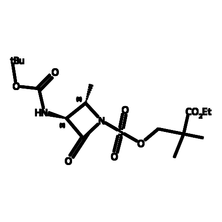 CCOC(=O)C(C)(C)COS(=O)(=O)N1C(=O)[C@@H](NC(=O)OC(C)(C)C)[C@@H]1C